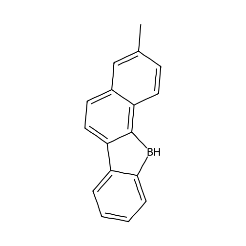 Cc1ccc2c3c(ccc2c1)-c1ccccc1B3